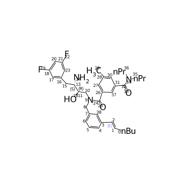 CCCC/C=C/c1cccc(CN(C[C@@H](O)[C@@H](N)Cc2cc(F)cc(F)c2)C(=O)c2cc(C)cc(C(=O)N(CCC)CCC)c2)c1